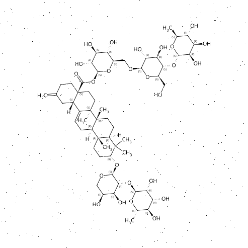 C=C1CC[C@]2(C(=O)O[C@@H]3O[C@H](CO[C@@H]4O[C@H](CO)[C@@H](O[C@@H]5O[C@@H](C)[C@H](O)[C@@H](O)[C@H]5O)[C@H](O)[C@H]4O)[C@@H](O)[C@H](O)[C@H]3O)CC[C@]3(C)C(=CC[C@@H]4[C@@]5(C)CC[C@@H](O[C@@H]6OC[C@H](O)[C@H](O)[C@H]6O[C@@H]6O[C@@H](C)[C@H](O)[C@@H](O)[C@H]6O)C(C)(C)[C@@H]5CC[C@]43C)[C@@H]2C1